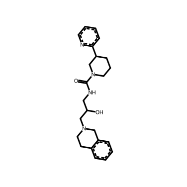 O=C(NCC(O)CN1CCc2ccccc2C1)N1CCCC(c2ccccn2)C1